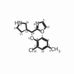 Cc1ccc(O[C@@H](c2ncco2)[C@H]2CCNC2)c(Cl)c1